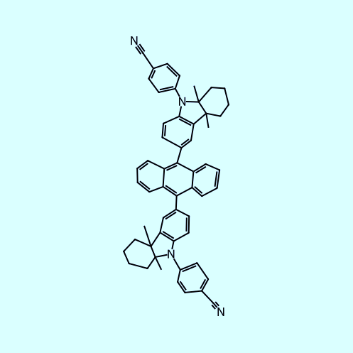 CC12CCCCC1(C)N(c1ccc(C#N)cc1)c1ccc(-c3c4ccccc4c(-c4ccc5c(c4)C4(C)CCCCC4(C)N5c4ccc(C#N)cc4)c4ccccc34)cc12